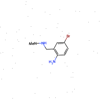 CNNCc1cc(Br)ccc1N